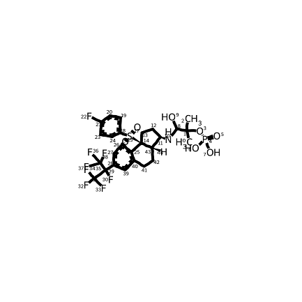 CC(C)(OP(=O)(O)O)C(O)N[C@@H]1CC[C@@]2(S(=O)(=O)c3ccc(F)cc3)c3ccc(C(F)(C(F)(F)F)C(F)(F)F)cc3CC[C@@H]12